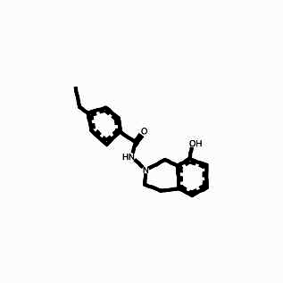 CCc1ccc(C(=O)NN2CCc3cccc(O)c3C2)cc1